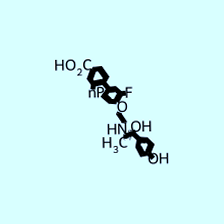 CCCc1cc(C(=O)O)ccc1-c1ccc(OCCN[C@H](C)[C@H](O)c2ccc(O)cc2)c(F)c1